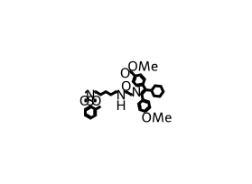 COC(=O)c1ccc2c(C3CCCCC3)c(-c3ccc(OC)cc3)n(CC(=O)NCCCCCN(C)S(=O)(=O)c3ccccc3C)c2c1